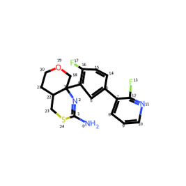 NC1=NC2(c3cc(-c4cccnc4F)ccc3F)COCCC2CS1